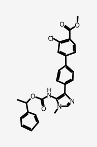 COC(=O)c1ccc(-c2ccc(-c3ncn(C)c3NC(=O)OC(C)c3ccccc3)cc2)cc1Cl